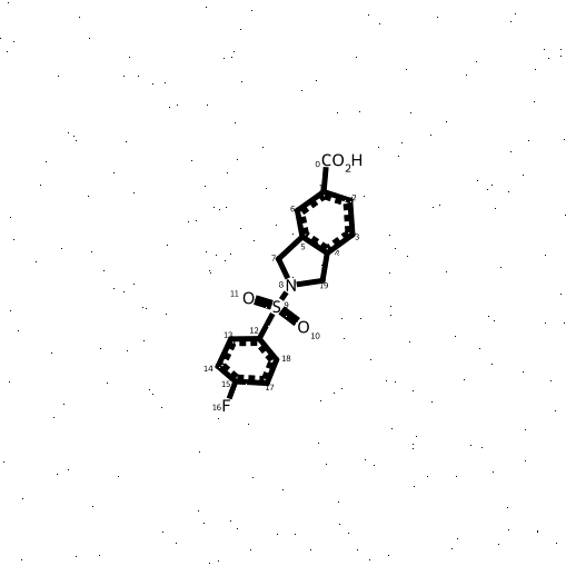 O=C(O)c1ccc2c(c1)CN(S(=O)(=O)c1ccc(F)cc1)C2